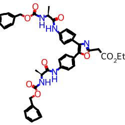 CCOC(=O)Cc1nc(-c2ccc(NC(=O)[C@H](C)NC(=O)OCc3ccccc3)cc2)c(-c2ccc(NC(=O)[C@H](C)NC(=O)OCc3ccccc3)cc2)o1